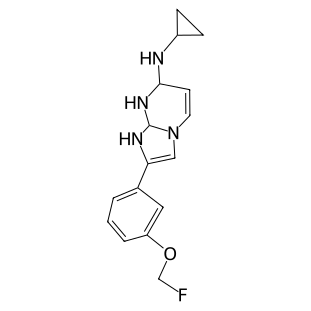 FCOc1cccc(C2=CN3C=CC(NC4CC4)NC3N2)c1